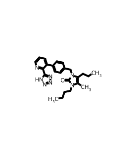 CCCCn1c(C)c(CCC)n(Cc2ccc(-c3cccnc3-c3nnn[nH]3)cc2)c1=O